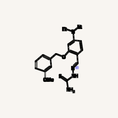 CCN(CC)c1ccc(/C=N/NC(N)=S)c(OCc2cccc(OC)c2)c1